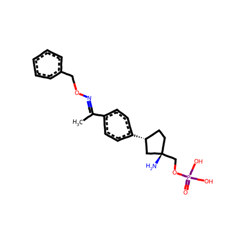 C/C(=N\OCc1ccccc1)c1ccc([C@@H]2CC[C@](N)(COP(=O)(O)O)C2)cc1